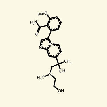 COc1cccc(-c2cnc3cc(C(C)(O)CN(C)CCO)ccn23)c1C(N)=O